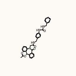 CC(=O)OC1c2ccccc2C(=O)N(CC(=O)NCc2ccc(NC(=O)NCc3ccccc3)cc2)c2ccccc21